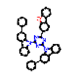 c1ccc(-c2ccc3c4ccccc4n(-c4nc(-c5ccc6c(c5)oc5ccccc56)nc(-n5c6ccccc6c6ccc(-c7ccccc7)cc65)n4)c3c2)cc1